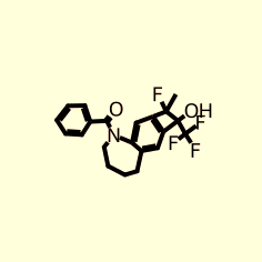 CC1(F)c2cc3c(cc2C1(O)C(F)(F)F)CCCCN3C(=O)c1ccccc1